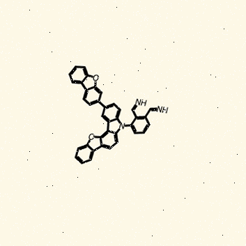 N=Cc1cccc(-n2c3ccc(-c4ccc5c(c4)oc4ccccc45)cc3c3c4oc5ccccc5c4ccc32)c1C=N